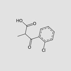 CC(C(=O)O)C(=O)c1ccccc1Cl